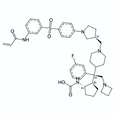 C=CC(=O)Nc1cccc(S(=O)(=O)c2ccc(N3CC[C@@H](CN4CCC([C@@](CN5CCC5)(c5cccc(F)c5)[C@H]5CCC[C@@H]5NC(=O)O)CC4)C3)cc2)c1